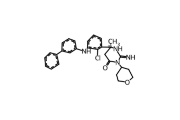 C[C@@]1(c2cccc(Nc3cccc(-c4ccccc4)c3)c2Cl)CC(=O)N(C2CCOCC2)C(=N)N1